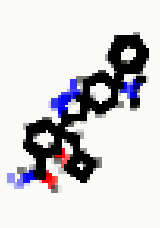 CN(C)C1(c2ccccc2)CCC2(CC1)C[C@@H](C1(CC3CCC3)C=CC=C(C(N)=O)C1=O)NN2